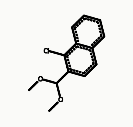 COC(OC)c1ccc2ccccc2c1Cl